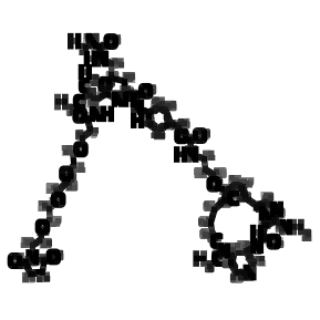 CC(C)C(NC(=O)CCOCCOCCOCCOCCN1C(=O)C=CC1=O)C(=O)N[C@@H](CCCNC(N)=O)C(=O)Nc1ccc(COC(=O)NCCCOc2ccc3cc2CCCCN(C)c2ccncc2NC(=O)c2nc-3cnc2N)cc1